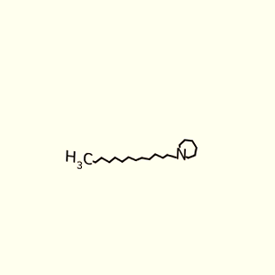 CCCCCCCCCCCCCCN1CCCCCC1